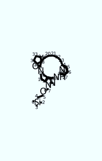 C[Si](C)(C)CCOCn1nc2c3c1CN(C3)C(=O)C1(CCCCCc3cccc(n3)N2)CCCC1